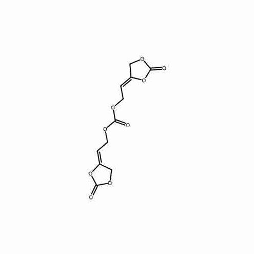 O=C(OCC=C1COC(=O)O1)OCC=C1COC(=O)O1